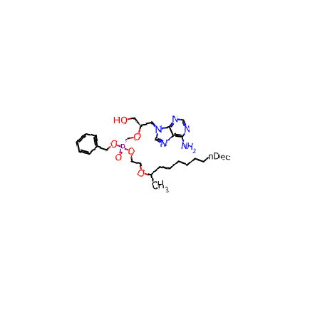 CCCCCCCCCCCCCCCCC(C)OCCO[P@](=O)(CO[C@@H](CO)Cn1cnc2c(N)ncnc21)OCc1ccccc1